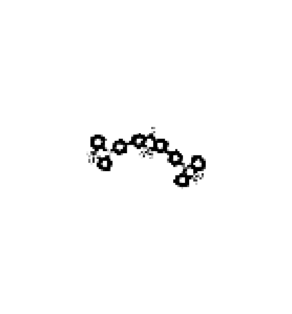 O=C1c2ccc(-c3ccc(N4c5ccccc5S(=O)(=O)c5ccccc54)cc3)cc2S(=O)(=O)c2cc(-c3ccc(N4c5ccccc5S(=O)(=O)c5ccccc54)cc3)ccc21